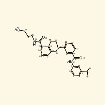 CC(C)c1cccc(NC(=O)c2cccc(N3CCc4c(cncc4C(=O)NCCCO)C3)c2)c1